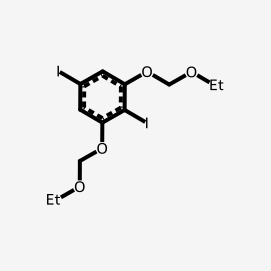 CCOCOc1cc(I)cc(OCOCC)c1I